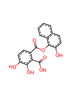 O=C(Oc1c(O)ccc2ccccc12)c1ccc(O)c(O)c1C(=O)O